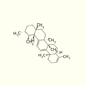 CC1=CCC[C@]2(C)C3=CC=C4[C@@H]5[C@@H](C)[C@H](C)CC[C@]5(C)CC[C@@]4(C)[C@]3(C)CC[C@@H]12